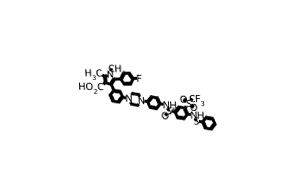 Cc1c(C(=O)O)c(-c2cccc(N3CCN(c4ccc(N[S+]([O-])c5ccc(NSc6ccccc6)c(S(=O)(=O)C(F)(F)F)c5)cc4)CC3)c2)c(-c2ccc(F)cc2)n1C